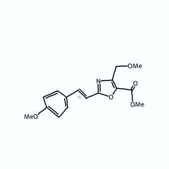 COCc1nc(/C=C/c2ccc(OC)cc2)oc1C(=O)OC